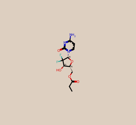 CCC(=O)OC[C@H]1O[C@@H](n2ccc(N)nc2=O)C(F)(F)[C@@H]1O